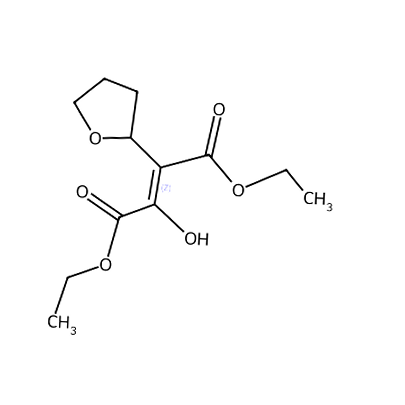 CCOC(=O)/C(O)=C(/C(=O)OCC)C1CCCO1